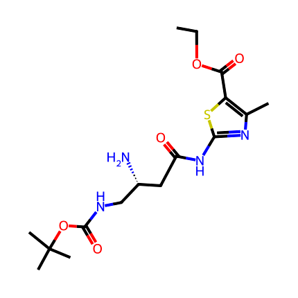 CCOC(=O)c1sc(NC(=O)C[C@@H](N)CNC(=O)OC(C)(C)C)nc1C